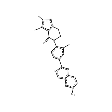 Cc1cc(-c2ncc3nc(C(F)(F)F)ccc3n2)ccc1N1CCn2nc(C)c(C)c2C1=O